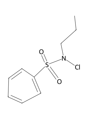 CCCN(Cl)S(=O)(=O)c1ccccc1